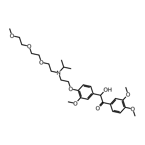 COCCOCCOCCN(CCOc1ccc(C(O)C(=O)c2ccc(OC)c(OC)c2)cc1OC)C(C)C